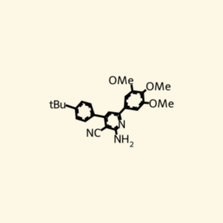 COc1cc(-c2cc(-c3ccc(C(C)(C)C)cc3)c(C#N)c(N)n2)cc(OC)c1OC